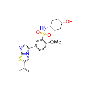 C=C(C)c1cn2c(-c3ccc(OC)c(S(=O)(=O)N[C@H]4CC[C@@H](O)CC4)c3)c(C)nc2s1